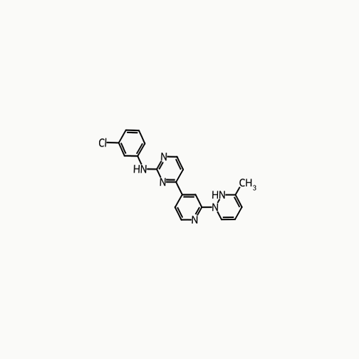 CC1=CC=CN(c2cc(-c3ccnc(Nc4cccc(Cl)c4)n3)ccn2)N1